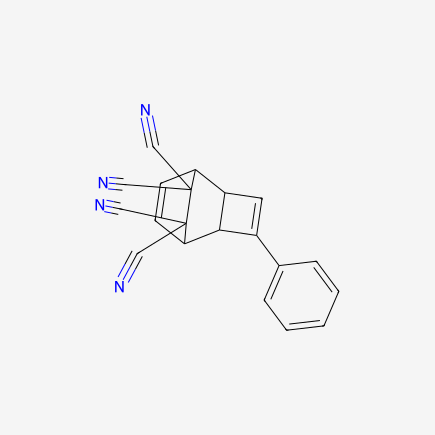 N#CC1(C#N)C2C=CC(C3C(c4ccccc4)=CC32)C1(C#N)C#N